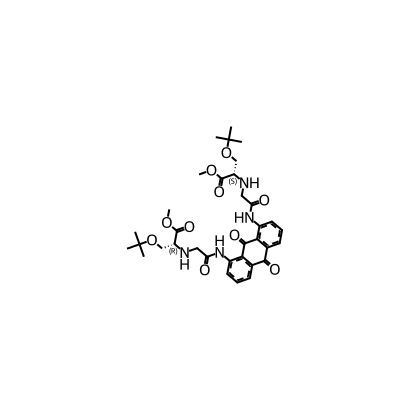 COC(=O)[C@H](COC(C)(C)C)NCC(=O)Nc1cccc2c1C(=O)c1c(NC(=O)CN[C@H](COC(C)(C)C)C(=O)OC)cccc1C2=O